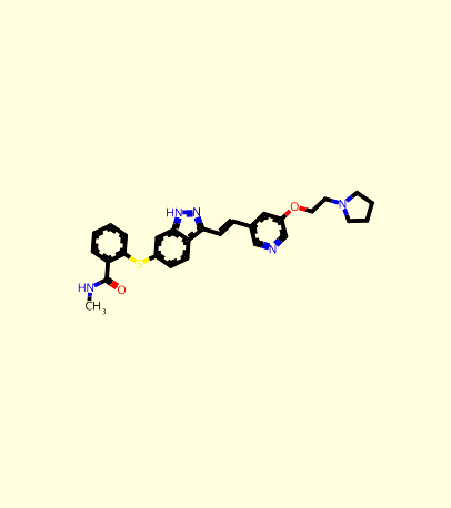 CNC(=O)c1ccccc1Sc1ccc2c(/C=C/c3cncc(OCCN4CCCC4)c3)n[nH]c2c1